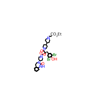 CCOC(=O)CCN1CCC(C2CCN(C(=O)[C@@H](Cc3cc(Br)c(O)c(Br)c3)OC(=O)N3CCC(N4CCc5ccccc5NC4=O)CC3)CC2)CC1